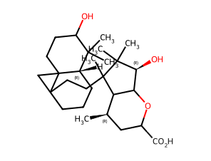 C[C@@H]1CC(C(=O)O)OC2C1C(C)(CCC13CCC[C@H]4C(C)(C)C(O)CCC41C3)C(C)(C)[C@H]2O